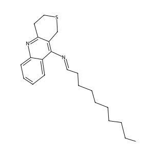 CCCCCCCCCC=Nc1c2c(nc3ccccc13)CCSC2